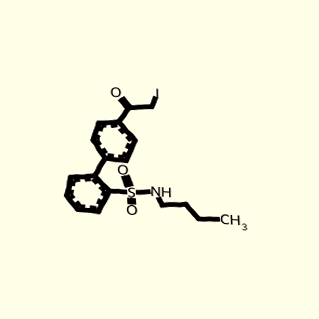 CCCCNS(=O)(=O)c1ccccc1-c1ccc(C(=O)CI)cc1